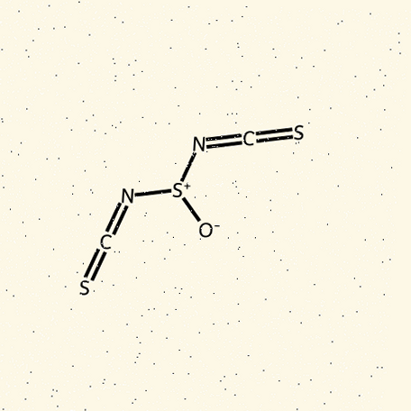 [O-][S+](N=C=S)N=C=S